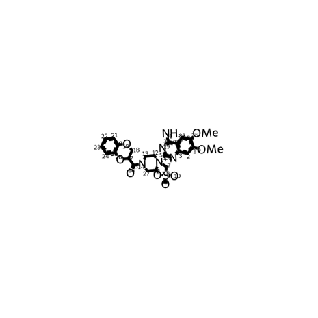 COc1cc2nc([N+]3(CS(=O)(=O)[O-])CCN(C(=O)C4COc5ccccc5O4)CC3)nc(N)c2cc1OC